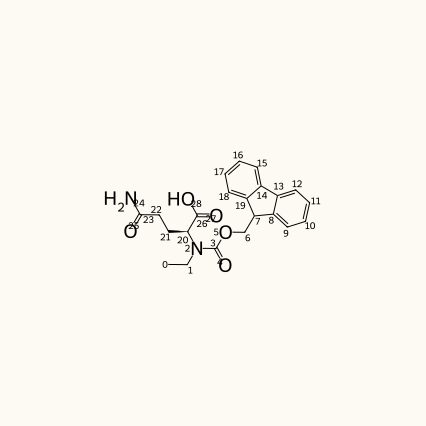 CCN(C(=O)OCC1c2ccccc2-c2ccccc21)[C@@H](CCC(N)=O)C(=O)O